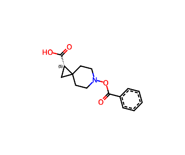 O=C(ON1CCC2(CC1)C[C@@H]2C(=O)O)c1ccccc1